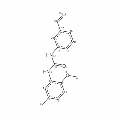 COc1ccc(C)cc1NC(=O)Nc1cccc(C=O)c1